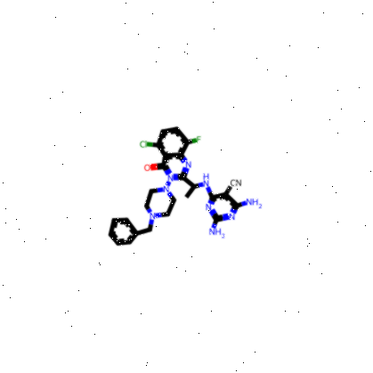 CC(Nc1nc(N)nc(N)c1C#N)c1nc2c(F)ccc(Cl)c2c(=O)n1N1CCN(Cc2ccccc2)CC1